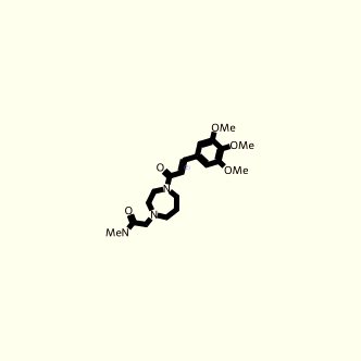 CNC(=O)CN1CCCN(C(=O)/C=C/c2cc(OC)c(OC)c(OC)c2)CC1